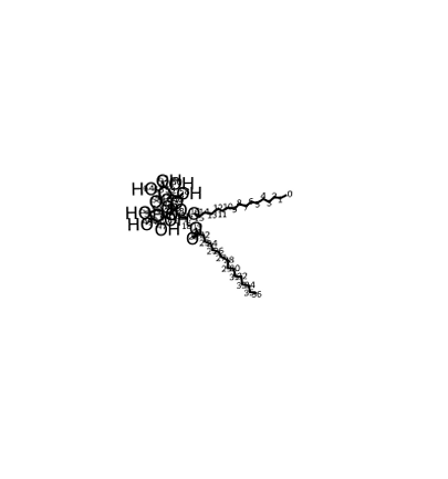 CCCCCCCCCCCCCCCCO[C@H](COC(=O)CCCCCCCCCCCCCCC)COP(=O)(O)O[C@@H]1C(O)C(O)[C@@H](O)[C@H](O)C1O[C@H]1OC(CO)[C@@H](O)C(O)[C@H]1O